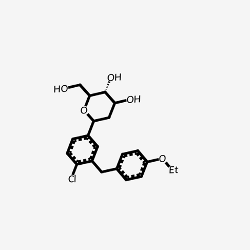 CCOc1ccc(Cc2cc(C3CC(O)[C@@H](O)C(CO)O3)ccc2Cl)cc1